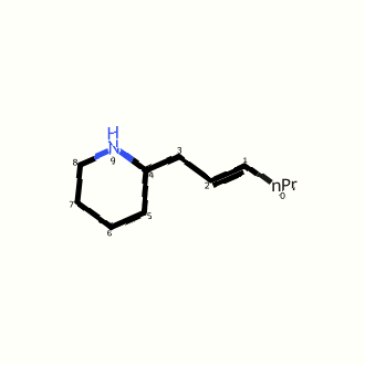 [CH2]CCC=CCC1CCCCN1